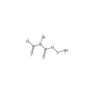 CC(C)N(C(=O)Cl)C(=O)OCS